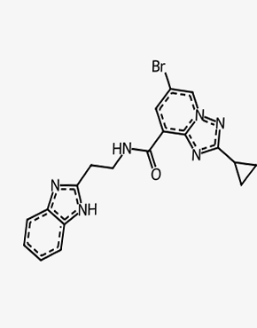 O=C(NCCc1nc2ccccc2[nH]1)c1cc(Br)cn2nc(C3CC3)nc12